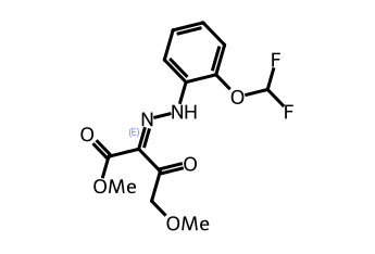 COCC(=O)/C(=N\Nc1ccccc1OC(F)F)C(=O)OC